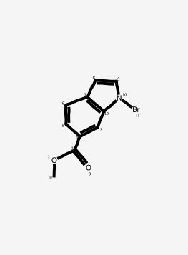 COC(=O)c1ccc2ccn(Br)c2c1